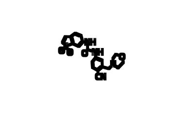 N#Cc1ccc(NC(=O)Nc2ccc3c(c2)S(=O)(=O)C=C3)cc1CN1CCOCC1